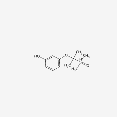 CC(C)(Oc1cccc(O)c1)[SH](C)(C)=O